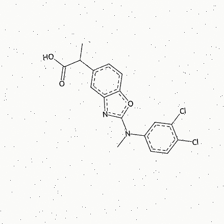 CC(C(=O)O)c1ccc2oc(N(C)c3ccc(Cl)c(Cl)c3)nc2c1